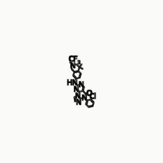 CC1(C)CN(CC(F)(F)F)Cc2cc(Nc3ncc4c(=O)n(-c5ccccc5Cl)c5nccn5c4n3)ccc21